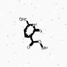 CCCCOC(=O)c1ccc(C=O)[nH]c1=O